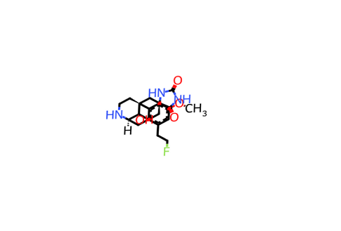 COc1cc(CCF)c2c(c1)[C@]13CCN[C@H](C2)[C@]1(O)CC[C@@]1(C3)NC(=O)NC1=O